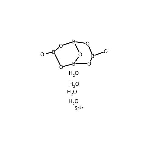 O.O.O.O.[O-]B1OB2OB([O-])OB(O1)O2.[Sr+2]